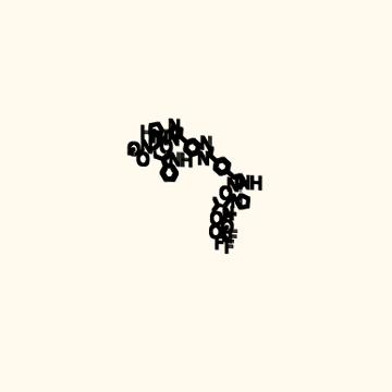 COC(=O)N[C@H](Cc1c[nH]c2ccccc12)C(=O)N1CCC[C@H]1c1ncc(-c2ccc3nc(-c4ccc(-c5c[nH]c([C@@H]6CCCN6C(=O)[C@H](C(C)C)N(C)C(=O)OC(=O)C(F)(F)F)n5)cc4)cnc3c2)[nH]1